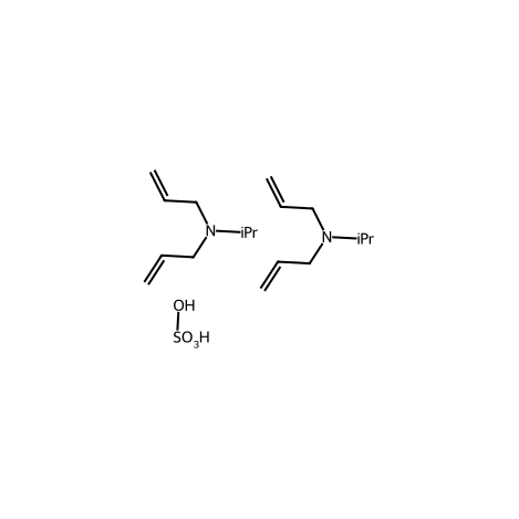 C=CCN(CC=C)C(C)C.C=CCN(CC=C)C(C)C.O=S(=O)(O)O